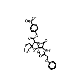 CC1(CI)S[C@@H]2C(NC(=O)COc3ccccc3)C(=O)N2C1C(=O)Oc1ccc([N+](=O)[O-])cc1